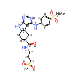 CNS(=O)(=O)c1ccc(Nc2ncnc3[nH]c4c(c23)C[C@@H](C(=O)NCCCS(C)(=O)=O)CC4)cc1